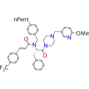 CCCCCc1ccc(CN(C(=O)/C=C/c2ccc(C(F)(F)F)cc2)[C@@H](Cc2ccccc2)C(=O)N2CCN(Cc3ccc(OC)nc3)CC2)cc1